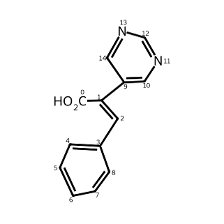 O=C(O)/C(=C\c1ccccc1)c1cncnc1